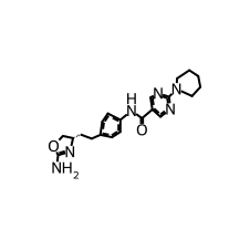 NC1=N[C@@H](CCc2ccc(NC(=O)c3cnc(N4CCCCC4)nc3)cc2)CO1